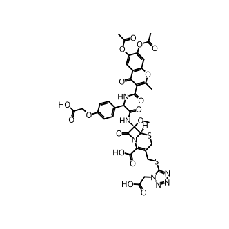 CO[C@@]1(NC(=O)C(NC(=O)c2c(C)oc3cc(OC(C)=O)c(OC(C)=O)cc3c2=O)c2ccc(OCC(=O)O)cc2)C(=O)N2C(C(=O)O)=C(CSc3nnnn3CC(=O)O)CS[C@H]21